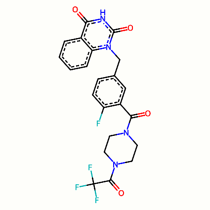 O=C(c1cc(Cn2c(=O)[nH]c(=O)c3ccccc32)ccc1F)N1CCN(C(=O)C(F)(F)F)CC1